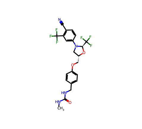 CNC(=O)NCc1ccc(OC[C@@H]2CN(c3ccc(C#N)c(C(F)(F)F)c3)[C@@H](C(F)(F)F)O2)cc1